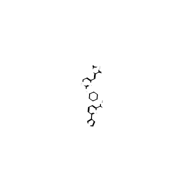 CC(N[C@H]1CC[C@@H](NC2=NC(/C=C3\SC(=O)NC3=O)=CCN2)CC1)c1cccc(-c2ccsc2)n1